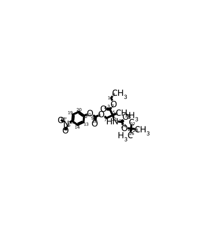 CCOC(=O)C(C)(COC(=O)Oc1ccc([N+](=O)[O-])cc1)NC(=O)OC(C)(C)C